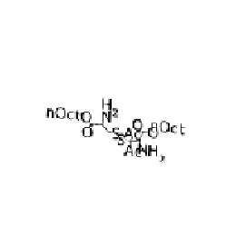 CCCCCCCCOC(=O)[C@@H](N)C(SSC[C@H](N)C(=O)OCCCCCCCC)(C(C)=O)C(C)=O